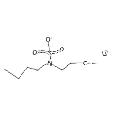 CCCCN(CCCC)S(=O)(=O)[O-].[Li+]